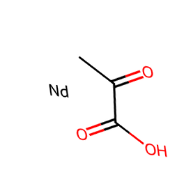 CC(=O)C(=O)O.[Nd]